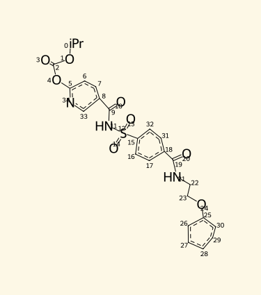 CC(C)OC(=O)Oc1ccc(C(=O)NS(=O)(=O)c2ccc(C(=O)NCCOc3ccccc3)cc2)cn1